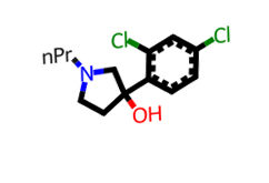 CCCN1CCC(O)(c2ccc(Cl)cc2Cl)C1